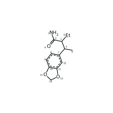 CCC(C(N)=O)C(C)c1ccc2c(c1)OCO2